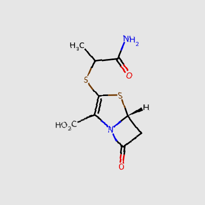 CC(SC1=C(C(=O)O)N2C(=O)C[C@H]2S1)C(N)=O